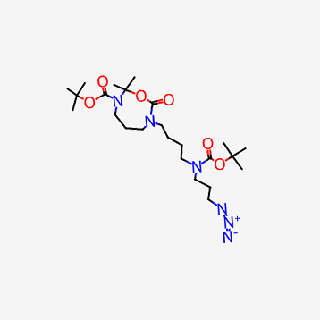 CC(C)(C)OC(=O)N(CCCCN1CCCN(C(=O)OC(C)(C)C)C(C)(C)OC1=O)CCCN=[N+]=[N-]